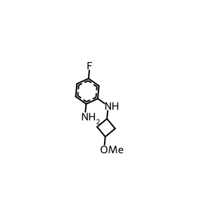 COC1CC(Nc2cc(F)ccc2N)C1